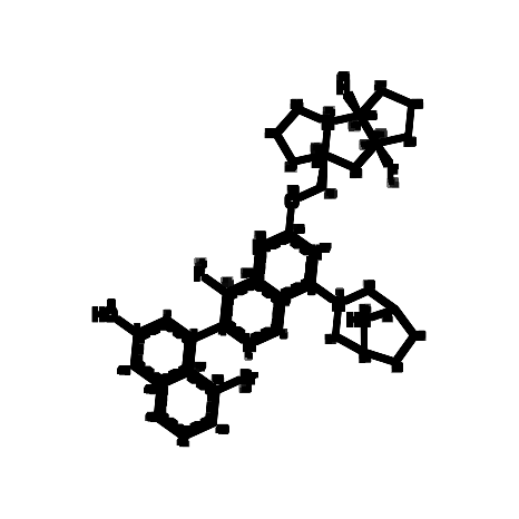 Oc1cc(-c2ncc3c(N4CC5CCC(C4)N5)nc(OC[C@@]45CCCN4[C@@H]4CCC[C@]4(F)C5)nc3c2F)c2c(Br)cccc2c1